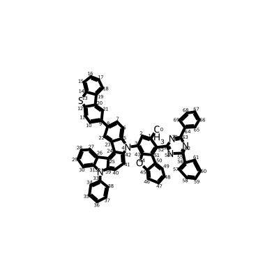 Cc1cc(-n2c3ccc(-c4ccc5sc6ccccc6c5c4)cc3c3c4c5ccccc5n(-c5ccccc5)c4ccc32)c2oc3ccccc3c2c1-c1nc(-c2ccccc2)nc(-c2ccccc2)n1